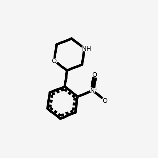 O=[N+]([O-])c1ccccc1C1CNCCO1